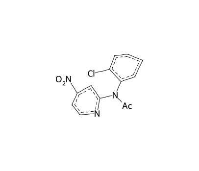 CC(=O)N(c1cc([N+](=O)[O-])ccn1)c1ccccc1Cl